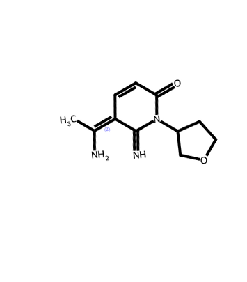 C/C(N)=C1\C=CC(=O)N(C2CCOC2)C1=N